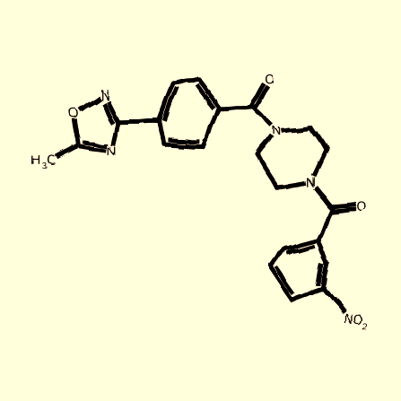 Cc1nc(-c2ccc(C(=O)N3CCN(C(=O)c4cccc([N+](=O)[O-])c4)CC3)cc2)no1